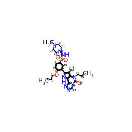 CCCOc1ccc(S(=O)(=O)NN2CCN(C)CC2)cc1-c1[nH]c2c(c1Cl)n(CCC)c(=O)n1cnnc21